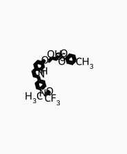 Cc1ccc(S(=O)(=O)OCC(O)COC2=CC=C3C=CC(c4ccc(N(C)C(=O)C(F)(F)F)cc4)=N[C@H]3C2)cc1